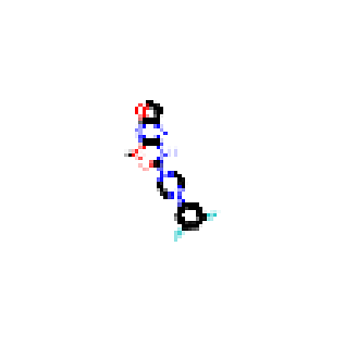 COc1nc2occc2nc1NC(=O)N1CCN(c2cc(F)cc(F)c2)CC1